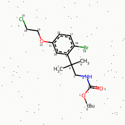 CC(C)(C)OC(=O)NCC(C)(C)c1cc(OCCCl)ccc1Br